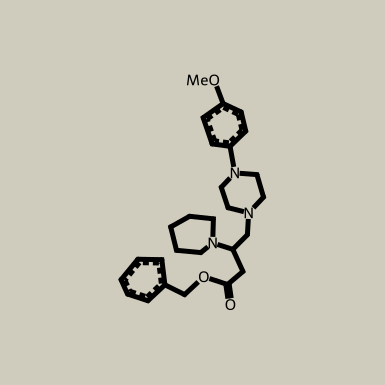 COc1ccc(N2CCN(CC(CC(=O)OCc3ccccc3)N3CCCCC3)CC2)cc1